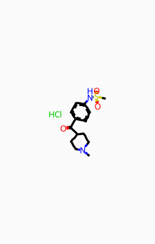 CN1CCC(C(=O)c2ccc(NS(C)(=O)=O)cc2)CC1.Cl